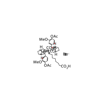 COc1cc(C[N+]2(C)[C@@H]3CC[C@H]2CC(C(CCCCCCCC(=O)O)(C(=O)O)C2C[C@H]4CC[C@@H](C2)[N+]4(C)Cc2ccc(OC(C)=O)c(OC)c2)C3)ccc1OC(C)=O.[Br-].[Br-]